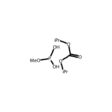 CC(C)OC(=O)OC(C)C.COP(O)O